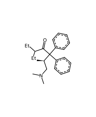 CCC(CC)C(=O)C(c1ccccc1)(c1ccccc1)[C@H](C)CN(C)C